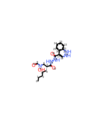 CCCCC[C@H](CN(O)C=O)C(=O)NNC(=O)C1=CNNc2ccccc21